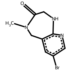 CN1Cc2cc(Br)cnc2NCC1=O